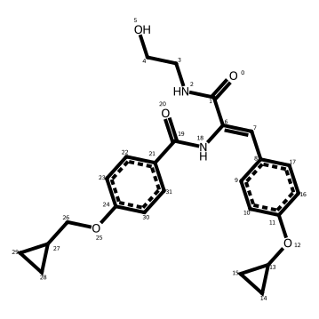 O=C(NCCO)/C(=C/c1ccc(OC2CC2)cc1)NC(=O)c1ccc(OCC2CC2)cc1